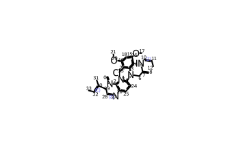 C=Nc1nc(N(CC(=C)N/C=C\C)c2cc(OC)cc(OC)c2Cl)ccc1/N=C\C/C(C)=C/C